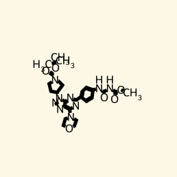 COC(=O)NC(=O)Nc1ccc(-c2nc(N3CCOCC3)c3nnn(C4CCN(C(=O)OC(C)(C)C)CC4)c3n2)cc1